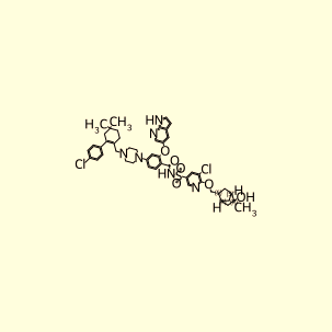 CC1(C)CCC(CN2CCN(c3ccc(C(=O)NS(=O)(=O)c4cnc(OC[C@H]5C[C@@H]6C[C@@H]5C[C@@]6(C)O)c(Cl)c4)c(Oc4cnc5[nH]ccc5c4)c3)CC2)=C(c2ccc(Cl)cc2)C1